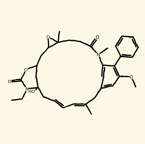 CCN1C(=O)OC2CC3OC3(C)CCC(=O)N(C)c3cc(cc(OC)c3-c3ccccc3)C/C(C)=C/C=C/C[C@@]1(O)C2